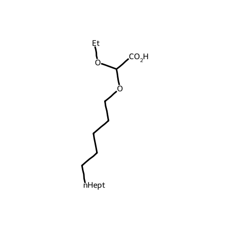 CCCCCCCCCCCCOC(OCC)C(=O)O